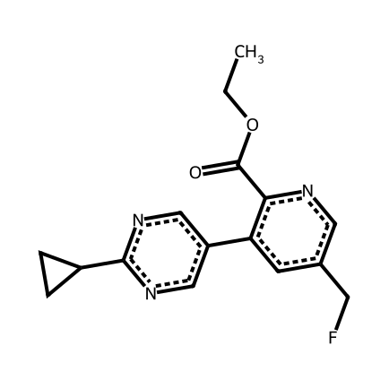 CCOC(=O)c1ncc(CF)cc1-c1cnc(C2CC2)nc1